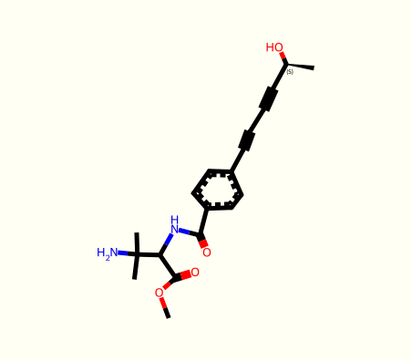 COC(=O)C(NC(=O)c1ccc(C#CC#C[C@H](C)O)cc1)C(C)(C)N